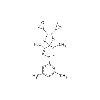 CC1=CC(c2cc(C)cc(C)c2)C=C(C)C1(OCC1CO1)OCC1CO1